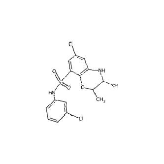 CC1Oc2c(cc(Cl)cc2S(=O)(=O)Nc2cccc(Cl)c2)NC1O